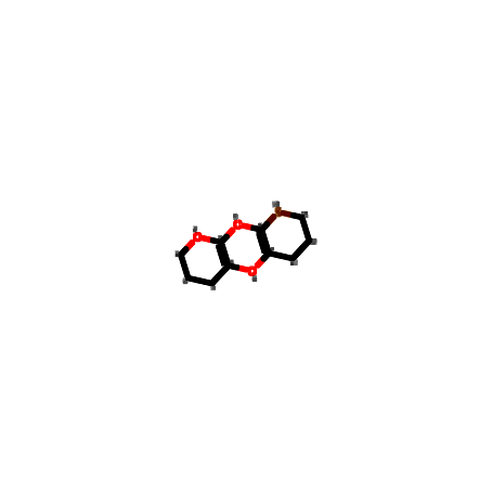 C1COC2=C(C1)OC1=C(O2)SCCC1